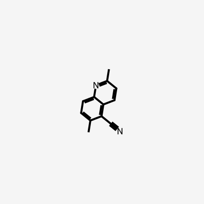 Cc1ccc2c(C#N)c(C)ccc2n1